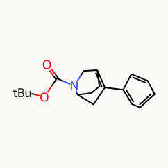 CC(C)(C)OC(=O)N1CC2=C(c3ccccc3)CC1CC2